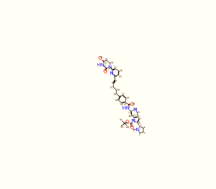 CN1CCC[C@@H]1c1cc2cnc(NC(=O)c3ccc(CCCC#Cc4cccc(N5CCC(=O)NC5=O)n4)cc3)cc2n1C(=O)OC(C)(C)C